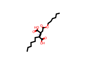 CCCCCCOC(=O)C/C(C(=O)O)=C(/CCCCCC)C(=O)O